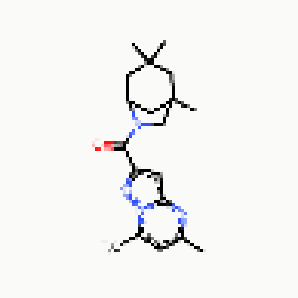 Cc1cc(C(F)(F)F)n2nc(C(=O)N3CC4(C)CC3CC(C)(C)C4)cc2n1